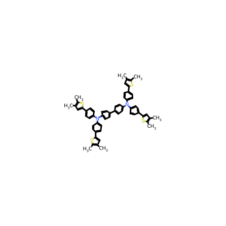 Cc1cc(-c2ccc(N(c3ccc(-c4ccc(N(c5ccc(-c6cc(C)c(C)s6)cc5)c5ccc(-c6cc(C)c(C)s6)cc5)cc4)cc3)c3ccc(-c4cc(C)c(C)s4)cc3)cc2)sc1C